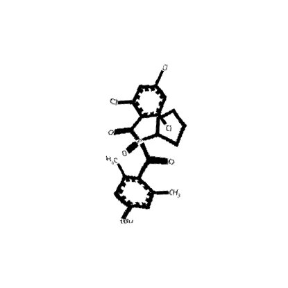 Cc1cc(C(C)(C)C)cc(C)c1C(=O)P(=O)(C(=O)c1c(Cl)cc(Cl)cc1Cl)C1CCCC1